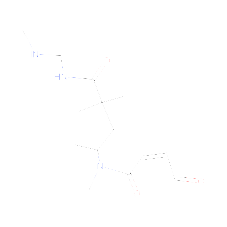 CNCNC(=O)C(C)(C)CC(C)N(C)C(=O)/C=C\C=O